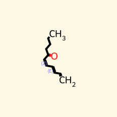 C=C/C=C/C=C\C(=O)CCCC